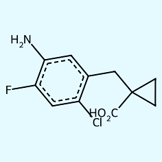 Nc1cc(CC2(C(=O)O)CC2)c(Cl)cc1F